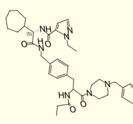 CCC(=O)NC(Cc1ccc(CNC(=O)[C@@H](NC(=O)c2ccnn2CC)C2CCCCCC2)cc1)C(=O)N1CCN(Cc2ccccc2)CC1